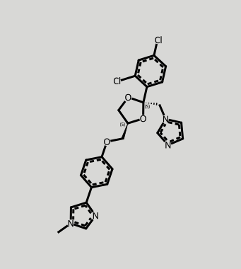 Cn1cnc(-c2ccc(OC[C@H]3CO[C@@](Cn4ccnc4)(c4ccc(Cl)cc4Cl)O3)cc2)c1